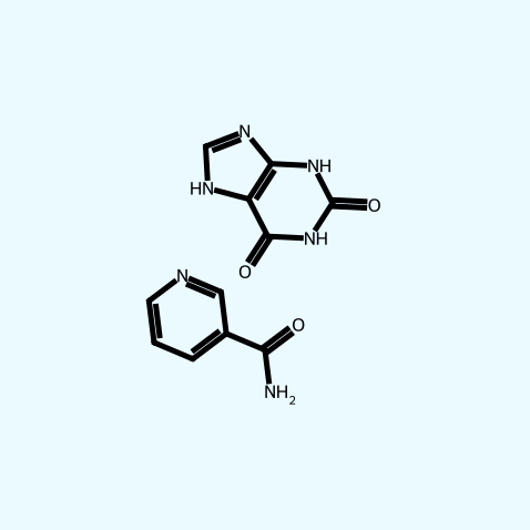 NC(=O)c1cccnc1.O=c1[nH]c(=O)c2[nH]cnc2[nH]1